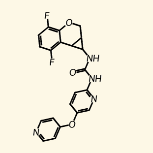 O=C(Nc1ccc(Oc2ccncc2)cn1)NC1C2COc3c(F)ccc(F)c3C21